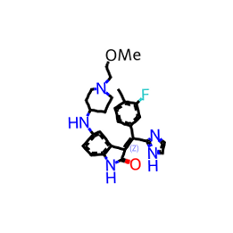 COCCN1CCC(Nc2ccc3c(c2)/C(=C(\c2ccc(C)c(F)c2)c2ncc[nH]2)C(=O)N3)CC1